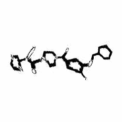 O=C(Nc1cnccn1)N1CCN(C(=O)c2ccc(F)c(OCC3CCCCC3)c2)CC1